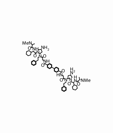 CN[C@@H](C)C(=O)N[C@H](C(=O)N1C[C@@H](N)CC1N(CCc1ccccc1)C(=O)CNC(=O)c1ccc(-c2ccc(C(=O)NCC(=O)N(CCc3ccccc3)C3C[C@H](N)CN3C(=O)[C@@H](NC(=O)[C@H](C)NC)C3CCCCC3)cc2)cc1)C1CCCCC1